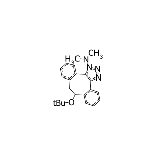 CN(C)n1nnc2c1-c1ccccc1CC(OC(C)(C)C)c1ccccc1-2